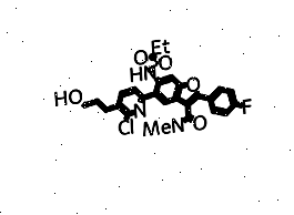 CCS(=O)(=O)Nc1cc2oc(-c3ccc(F)cc3)c(C(=O)NC)c2cc1-c1ccc(CCCO)c(Cl)n1